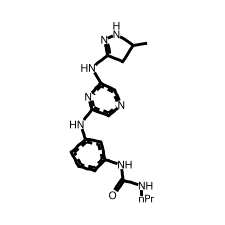 CCCNC(=O)Nc1cccc(Nc2cncc(NC3=NNC(C)C3)n2)c1